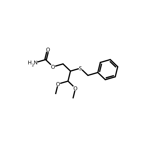 COC(OC)C(COC(N)=O)SCc1ccccc1